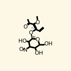 C=C/C(O[C@H]1OC(CO)C(O)C(N=O)C1O)=C(\OC)C(C)=O